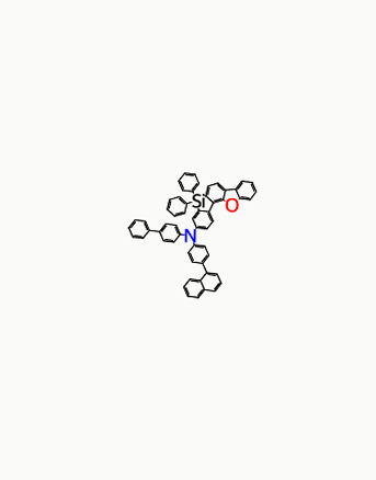 c1ccc(-c2ccc(N(c3ccc(-c4cccc5ccccc45)cc3)c3ccc4c(c3)[Si](c3ccccc3)(c3ccccc3)c3ccc5c(oc6ccccc65)c3-4)cc2)cc1